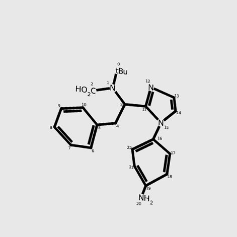 CC(C)(C)N(C(=O)O)C(Cc1ccccc1)c1nccn1-c1ccc(N)cc1